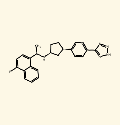 C[C@@H](N[C@H]1CC[C@@H](c2ccc(-c3nn[nH]n3)cc2)C1)c1ccc(F)c2ccccc12